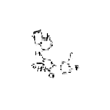 CC1(c2[nH]c(=O)c(-c3ccc(F)c(Cl)c3)cc2Nc2ccnc3ccncc23)CC1